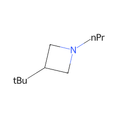 CCCN1CC(C(C)(C)C)C1